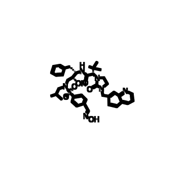 CC(C)CN(C[C@@H](O)[C@H](Cc1ccccc1)NC(=O)[C@@H](N1CCN(Cc2ccc3cccnc3c2)C1=O)C(C)(C)C)S(=O)(=O)c1ccc(C=NO)cc1